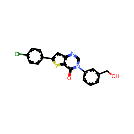 O=c1c2sc(-c3ccc(Cl)cc3)cc2ncn1-c1cccc(CO)c1